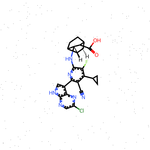 N#Cc1c(-c2c[nH]c3ncc(Cl)nc23)nc(N[C@@H]2C3CCC(CC3)[C@H]2C(=O)O)c(F)c1C1CC1